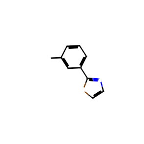 [CH2]c1cccc(-c2nccs2)c1